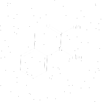 CCCCN(C(=O)CCC)c1ccccc1C